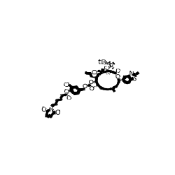 C=CC[C@H]1C(=O)C(C)(C)[C@@H](O[Si](C)(C)C(C)(C)C)CC(=O)O[C@H](c2ccc3sc(C)nc3c2)CC=C(C)CCC[C@H](C)[C@@H]1OC(=O)OCc1ccc(OC(=O)CCCCCN2C(=O)C=CC2=O)c(Cl)c1